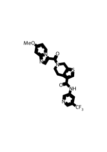 COc1ccn2c(C(=O)N3CCc4c(C(=O)Nc5cncc(C(F)(F)F)c5)csc4C3)cnc2c1